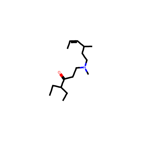 C/C=C\C(C)CCN(C)CCC(=O)C(CC)CC